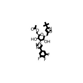 CC(=O)OC[C@H]1O[C@H](Cc2cc(C(C)(C)C)no2)[C@H](O)[C@@H](n2cc(-c3cc(F)c(F)c(F)c3)nn2)[C@H]1O